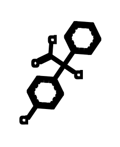 O=C(Cl)C(Cl)(c1ccccc1)c1ccc(Cl)cc1